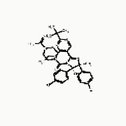 CCOc1nc(C(C)(C)C)ncc1C1=N[C@@](C)(c2ccc(Cl)cc2)[C@@](C)(c2ccc(Cl)cc2)N1C(=O)N1CCN(C(C)=O)CC1